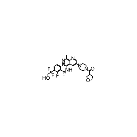 Cc1nnc(N[C@H](C)c2cccc(C(F)(F)CO)c2F)c2cc(N3CCN(C(=O)C4CCOC4)CC3)cnc12